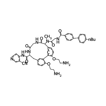 CCCCc1ccc(-c2ccc(C(=O)NCC(=O)N(C)C3C(=O)NCC(=O)NC(C(=O)Nc4ccncc4C#N)Cc4ccc(OCCN)c(c4)-c4cc3ccc4OCCN)cc2)cc1